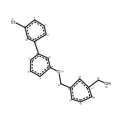 CCc1cccc(-c2cccc(OCc3cccc(CO)c3)c2)c1